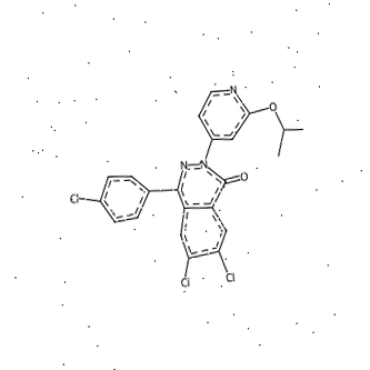 CC(C)Oc1cc(-n2nc(-c3ccc(Cl)cc3)c3cc(Cl)c(Cl)cc3c2=O)ccn1